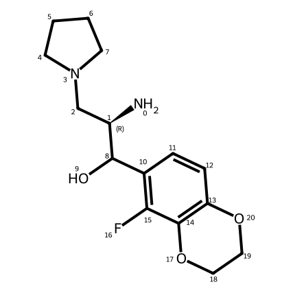 N[C@H](CN1CCCC1)C(O)c1ccc2c(c1F)OCCO2